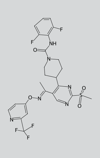 C/C(=N\Oc1ccnc(C(F)(F)F)c1)c1cnc(S(C)(=O)=O)nc1C1CCN(C(=O)Nc2c(F)cccc2F)CC1